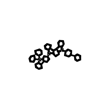 c1ccc(-c2ccc(-n3c4ccccc4c4c5c6ccccc6n(-c6ccc7c(c6)[Si](c6ccccc6)(c6ccccc6)c6ccccc6-7)c5ccc43)cc2)cc1